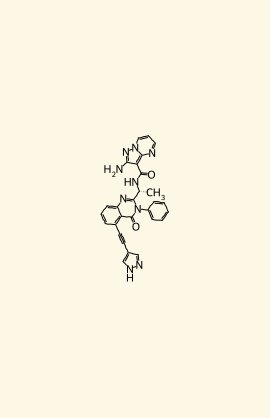 C[C@@H](NC(=O)c1c(N)nn2cccnc12)c1nc2cccc(C#Cc3cn[nH]c3)c2c(=O)n1-c1ccccc1